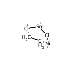 [CH2]C.[Cl][Sn][Cl].[Ni]